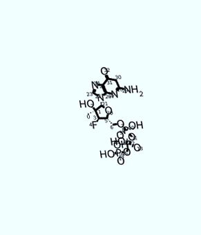 C[C@@]1(O)[C@H](F)[C@@H](COP(=O)(O)OP(=O)(O)OP(=O)(O)O)O[C@H]1n1cnc2c1N=C(N)CC2=O